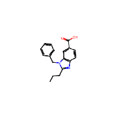 CCCc1nc2ccc(C(=O)O)cc2n1Cc1ccccc1